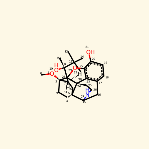 CO[C@]12CC[C@@]3(C[C@@H]1[C@](C)(O)C(C)(C)C)C1Cc4ccc(O)c5c4[C@@]3(CCN1)[C@H]2O5